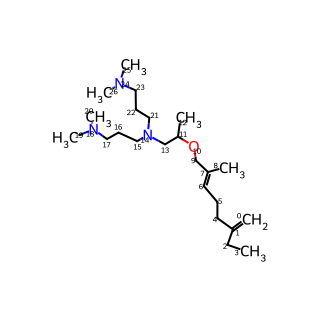 C=C(CC)CC/C=C(\C)COC(C)CN(CCCN(C)C)CCCN(C)C